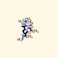 Cc1c2c(O[C@H](C)C3CNC(=O)O3)nc(-c3cnn(C(C)(C)C)c3)cc2nn1C